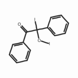 O=C(c1ccccc1)C(I)(OI)c1ccccc1